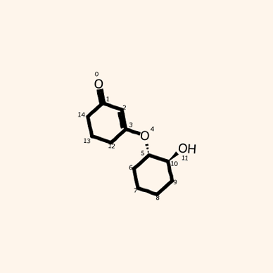 O=C1C=C(O[C@H]2CCCC[C@@H]2O)CCC1